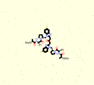 CN[C@H](C)C(=O)N[C@@H](C(=O)N1CCC[C@H]1Cn1c(CC(=O)Cc2nc3cc(F)ccc3n2C[C@@H]2CCCN2C(=O)[C@H](NC(=O)[C@@H](C)NC)C(C)C)nc2cc(F)ccc21)C(C)C